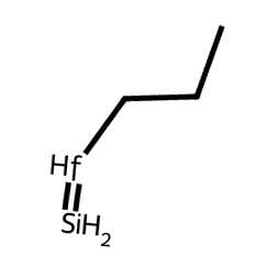 CC[CH2][Hf]=[SiH2]